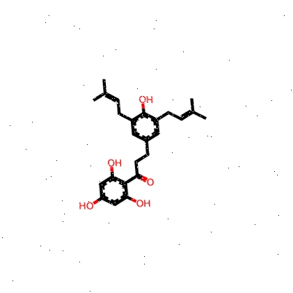 CC(C)=CCc1cc(CCC(=O)c2c(O)cc(O)cc2O)cc(CC=C(C)C)c1O